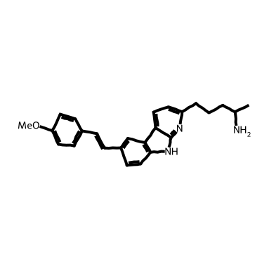 COc1ccc(C=Cc2ccc3[nH]c4nc(CCCC(C)N)ccc4c3c2)cc1